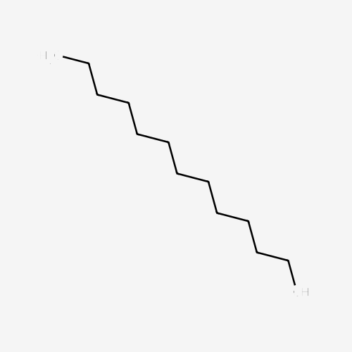 [CH2]CCCCCCCCCC[CH]C